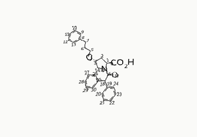 O=C(O)[C@@H]1C[C@@H](OCCCc2ccccc2)CN1C(=O)C(c1ccccc1)c1ccccc1